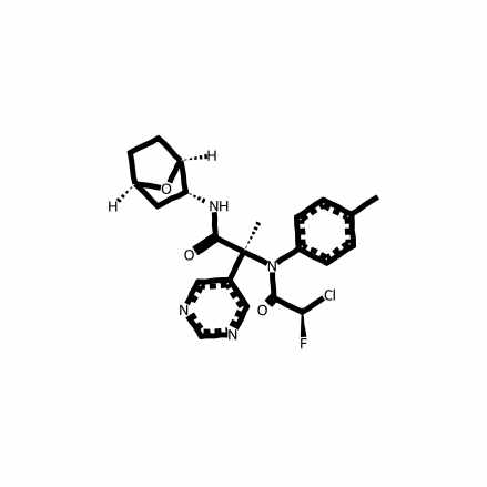 Cc1ccc(N(C(=O)[C@H](F)Cl)[C@](C)(C(=O)N[C@@H]2C[C@H]3CC[C@@H]2O3)c2cncnc2)cc1